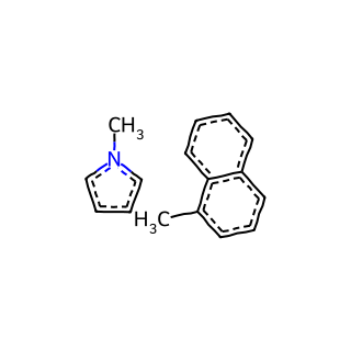 Cc1cccc2ccccc12.Cn1cccc1